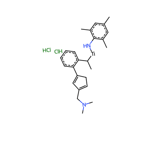 Cc1cc(C)c([NH][Ti][CH](C)c2ccccc2C2=CC(CN(C)C)=CC2)c(C)c1.Cl.Cl